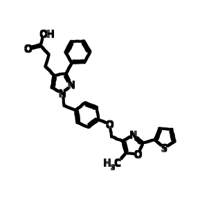 Cc1oc(-c2cccs2)nc1COc1ccc(Cn2cc(CCC(=O)O)c(-c3ccccc3)n2)cc1